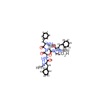 CCCCNC(Cc1ccccc1)C(=O)N(CC(=O)N(CC(=O)O)C(=O)C(Cc1ccccc1)NC(C)(C)C)C(=O)CNC(=O)C(Cc1ccccc1)NCCC